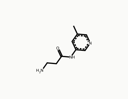 Cc1cncc(NC(=O)CCN)c1